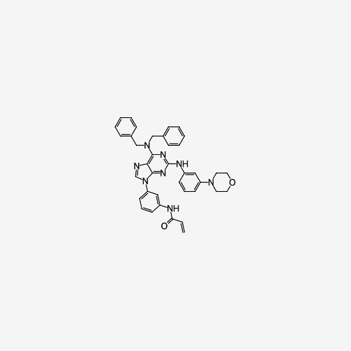 C=CC(=O)Nc1cccc(-n2cnc3c(N(Cc4ccccc4)Cc4ccccc4)nc(Nc4cccc(N5CCOCC5)c4)nc32)c1